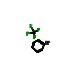 F[B-](F)(F)F.[H+].c1ccccc1